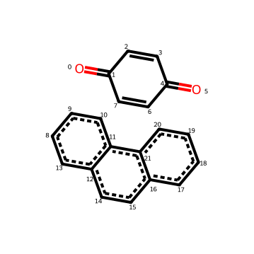 O=C1C=CC(=O)C=C1.c1ccc2c(c1)ccc1ccccc12